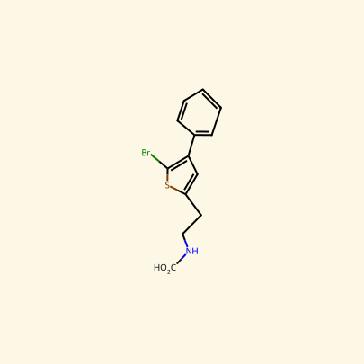 O=C(O)NCCc1cc(-c2ccccc2)c(Br)s1